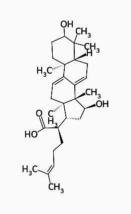 CC(C)=CCC[C@@H](C(=O)O)[C@H]1C[C@H](O)[C@@]2(C)C3=CC[C@H]4C(C)(C)C(O)CC[C@]4(C)C3=CC[C@]12C